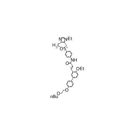 CCCCOCCOc1ccc(-c2ccc(OCC)c(/C=C/C(=O)Nc3ccc([S+]([O-])Cc4c(C)ncn4CC)cc3)c2)cc1